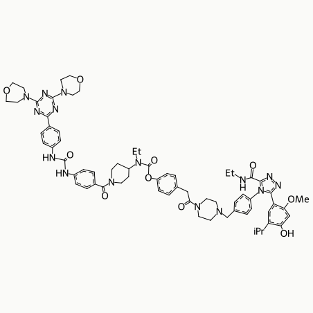 CCNC(=O)c1nnc(-c2cc(C(C)C)c(O)cc2OC)n1-c1ccc(CN2CCN(C(=O)Cc3ccc(OC(=O)N(CC)C4CCN(C(=O)c5ccc(NC(=O)Nc6ccc(-c7nc(N8CCOCC8)nc(N8CCOCC8)n7)cc6)cc5)CC4)cc3)CC2)cc1